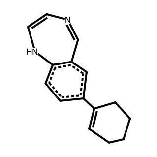 C1=CNc2ccc(C3=CCCCC3)cc2C=N1